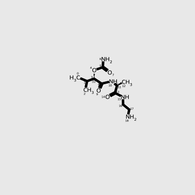 CC(C)[C@H](OC(N)=O)C(=O)N[C@@H](C)C(=O)NCCN